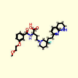 COCCOc1cccc(C(=O)NC(CCN2CCCC(F)(CCc3ccc4c(n3)NCCC4)C2)C(=O)O)c1